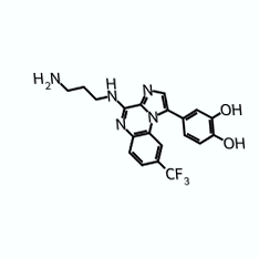 NCCCNc1nc2ccc(C(F)(F)F)cc2n2c(-c3ccc(O)c(O)c3)cnc12